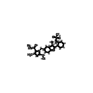 CCNC(=O)c1c(C)nc(OCC)n1Cc1ccc2oc(-c3ccccc3NS(=O)(=O)C(F)(F)F)c(Br)c2c1